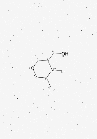 CC1COCC(CO)N1C